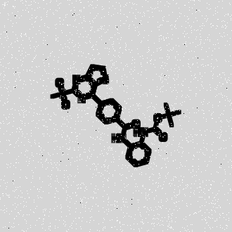 CC(C)(C)OC(=O)Nc1ccccc1NC(=O)c1ccc(-c2nc(S(C)(=O)=O)nc3ccsc23)cc1